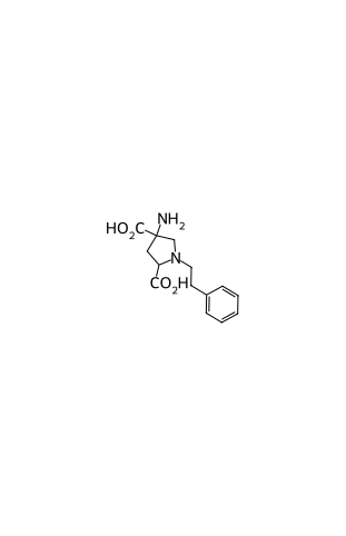 NC1(C(=O)O)CC(C(=O)O)N(CCc2ccccc2)C1